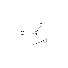 CCl.ClSCl